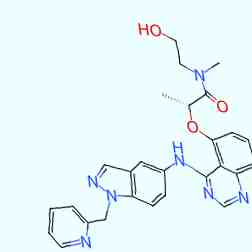 C[C@@H](Oc1cccc2ncnc(Nc3ccc4c(cnn4Cc4ccccn4)c3)c12)C(=O)N(C)CCO